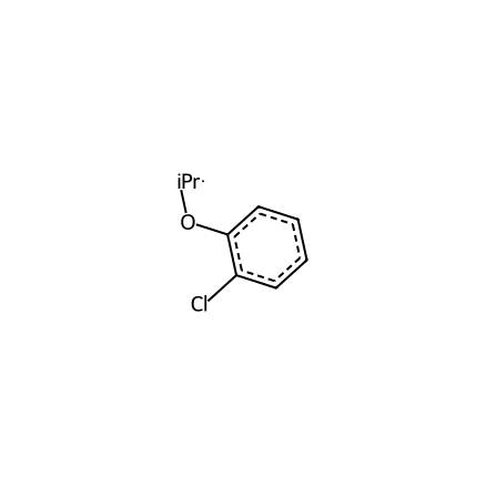 C[C](C)Oc1ccccc1Cl